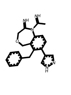 CC(=N)N1C(=N)COCc2c1ccc(-c1cn[nH]c1)c2Cc1ccccc1